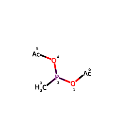 CC(=O)OP(C)OC(C)=O